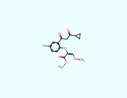 COC=C(Oc1ccc(Cl)cc1C(=O)CC(=O)C1CC1)C(=O)OC